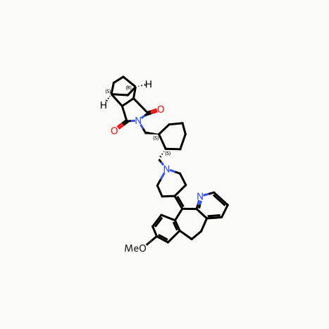 COc1ccc2c(c1)CCc1cccnc1C2=C1CCN(C[C@H]2CCCC[C@@H]2CN2C(=O)C3C(C2=O)[C@H]2CC[C@@H]3C2)CC1